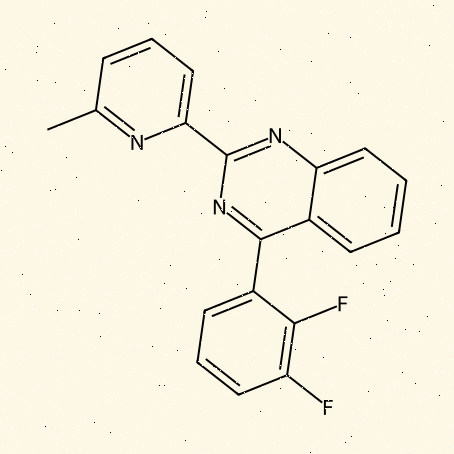 Cc1cccc(-c2nc(-c3cccc(F)c3F)c3ccccc3n2)n1